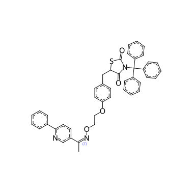 C/C(=N/OCCOc1ccc(CC2SC(=O)N(C(c3ccccc3)(c3ccccc3)c3ccccc3)C2=O)cc1)c1ccc(-c2ccccc2)nc1